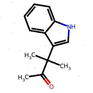 CC(=O)C(C)(C)c1c[nH]c2ccccc12